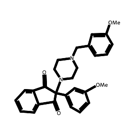 COc1cccc(CN2CCN(C3(c4cccc(OC)c4)C(=O)c4ccccc4C3=O)CC2)c1